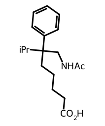 CC(=O)NCC(CCCCC(=O)O)(c1ccccc1)C(C)C